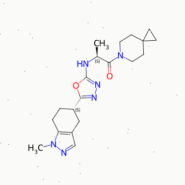 C[C@H](Nc1nnc([C@H]2CCc3c(cnn3C)C2)o1)C(=O)N1CCC2(CC1)CC2